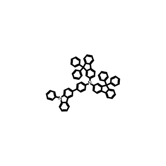 c1ccc(-n2c3ccccc3c3cc(-c4ccc(N(c5ccc6c(c5)C(c5ccccc5)(c5ccccc5)c5ccccc5-6)c5ccc6c(c5)C(c5ccccc5)(c5ccccc5)c5ccccc5-6)cc4)ccc32)cc1